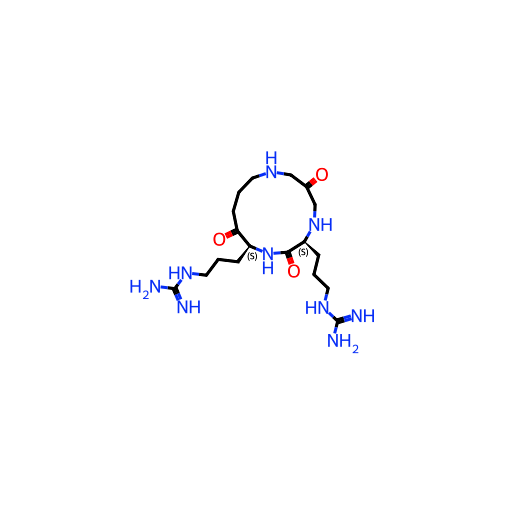 N=C(N)NCCC[C@@H]1NC(=O)[C@H](CCCNC(=N)N)NCC(=O)CNCCCC1=O